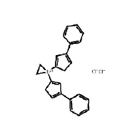 C1=C(c2ccccc2)C=[C]([Ti+2]2([C]3=CC(c4ccccc4)=CC3)[CH2][CH2]2)C1.[Cl-].[Cl-]